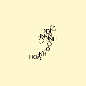 O=C(O)CNCCCOc1ccc(Nc2nc(NC3CCCCC3)c3ncn(C4CCCCO4)c3n2)cc1